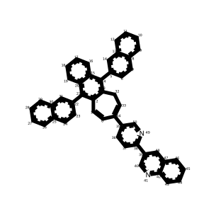 C1=Cc2c(c(-c3ccc4ccccc4c3)c3ccccc3c2-c2ccc3ccccc3c2)CC=C1c1ccc(-c2cnc3ccccc3c2)nc1